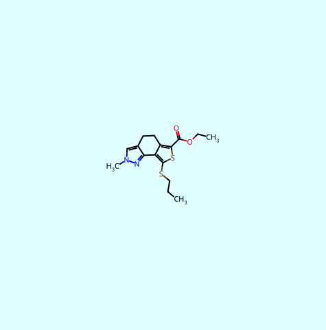 CCCSc1sc(C(=O)OCC)c2c1-c1nn(C)cc1CC2